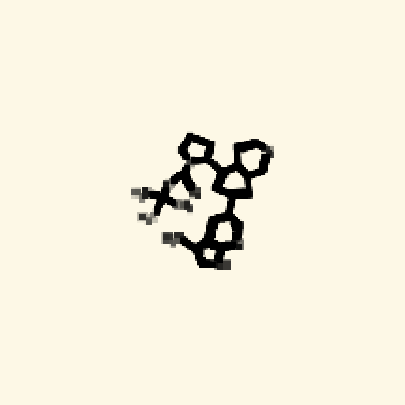 Cc1c[nH]c2ncc(C3=CC4C=NC=CC4C([C@@H]4CCCN4C(=O)OC(C)(C)C)=C3)cc12